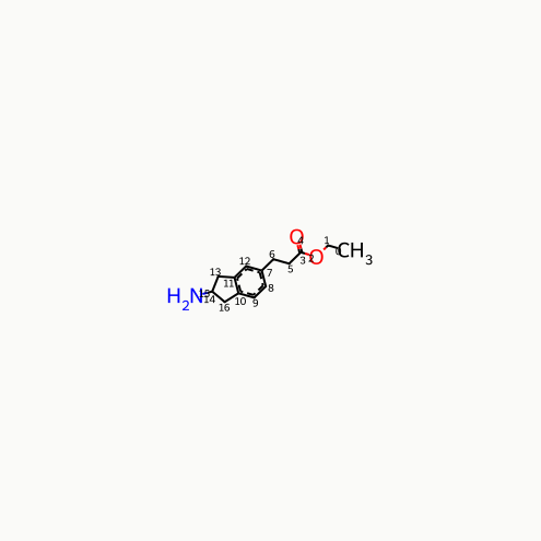 CCOC(=O)CCc1ccc2c(c1)CC(N)C2